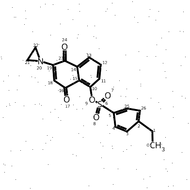 CCc1ccc(S(=O)(=O)Oc2cccc3c2C(=O)C=C(N2CC2)C3=O)cc1